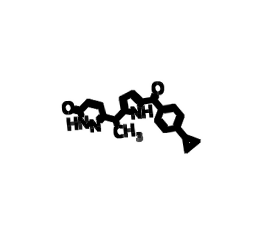 CC(c1ccc(=O)[nH]n1)c1ccc(C(=O)c2ccc(C3CC3)cc2)[nH]1